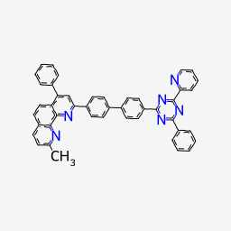 Cc1ccc2ccc3c(-c4ccccc4)cc(-c4ccc(-c5ccc(-c6nc(-c7ccccc7)nc(-c7ccccn7)n6)cc5)cc4)nc3c2n1